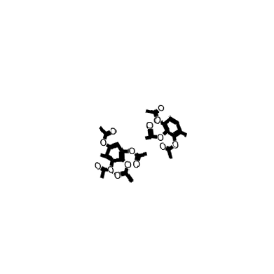 CC(=O)Oc1cc(OC(C)=O)c(OC(C)=O)c(OC(C)=O)c1C.CC(=O)Oc1ccc(C)c(OC(C)=O)c1OC(C)=O